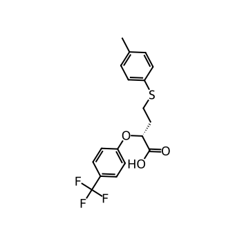 Cc1ccc(SCC[C@@H](Oc2ccc(C(F)(F)F)cc2)C(=O)O)cc1